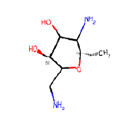 C[C@@H]1OC(CN)[C@@H](O)C(O)C1N